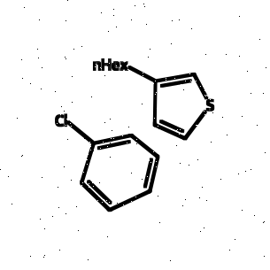 CCCCCCc1ccsc1.Clc1ccccc1